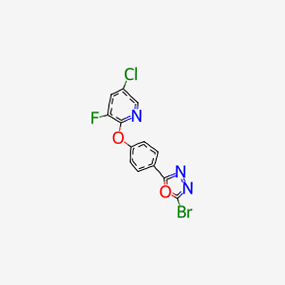 Fc1cc(Cl)cnc1Oc1ccc(-c2nnc(Br)o2)cc1